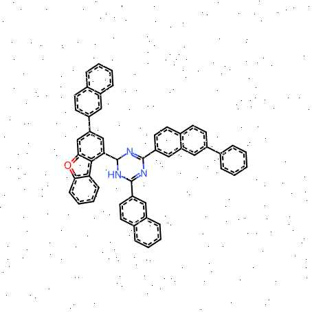 c1ccc(-c2ccc3ccc(C4=NC(c5cc(-c6ccc7ccccc7c6)cc6oc7ccccc7c56)NC(c5ccc6ccccc6c5)=N4)cc3c2)cc1